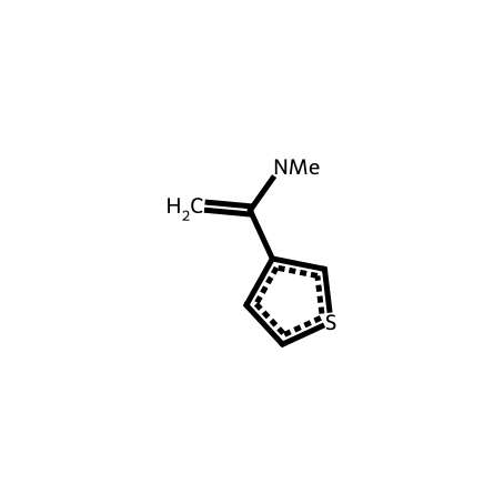 C=C(NC)c1ccsc1